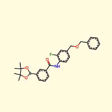 CC1(C)OB(c2cccc(C(=O)Nc3ccc(COCc4ccccc4)cc3F)c2)OC1(C)C